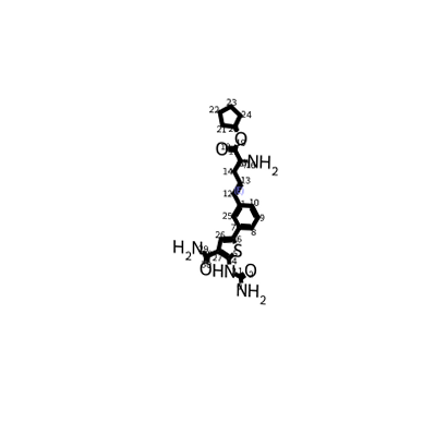 NC(=O)Nc1sc(-c2cccc(/C=C/C[C@H](N)C(=O)OC3CCCC3)c2)cc1C(N)=O